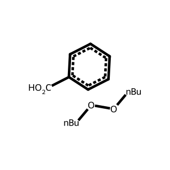 CCCCOOCCCC.O=C(O)c1ccccc1